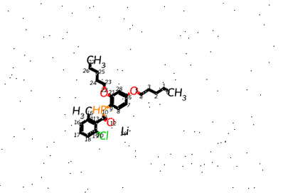 CCCCCOc1ccc(PC(=O)c2c(C)cccc2Cl)c(OCCCCC)c1.[Li]